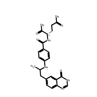 CC(Cc1ccc2nc[nH]c(=O)c2c1)Nc1ccc(C(=O)N[C@@H](CCC(=O)O)C(=O)O)cc1